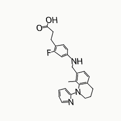 Cc1c(CNc2ccc(CCC(=O)O)c(F)c2)ccc2c1N(c1ccccn1)CCC2